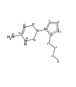 CCCCc1sccc1C1CN=C(N)NC1